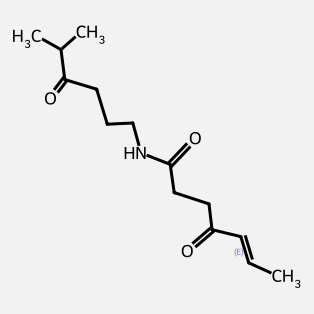 C/C=C/C(=O)CCC(=O)NCCCC(=O)C(C)C